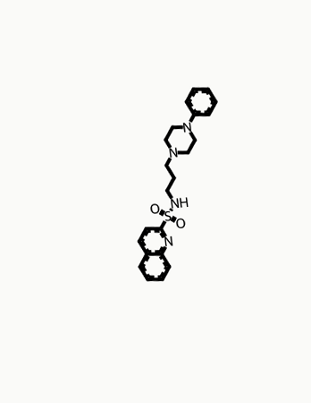 O=S(=O)(NCCCN1CCN(c2ccccc2)CC1)c1ccc2ccccc2n1